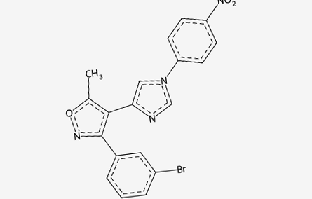 Cc1onc(-c2cccc(Br)c2)c1-c1cn(-c2ccc([N+](=O)[O-])cc2)cn1